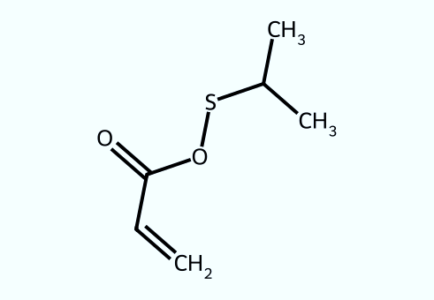 C=CC(=O)OSC(C)C